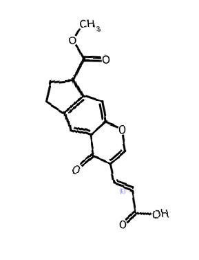 COC(=O)C1CCc2cc3c(=O)c(/C=C/C(=O)O)coc3cc21